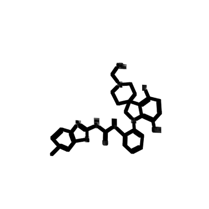 Cc1ccc2nc(NC(=O)Nc3ccccc3N3CC4(CCN(CC(C)(C)C)CC4)c4c(F)ccc(O)c43)sc2c1